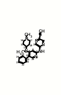 C#Cc1cnc(Nc2cc(N(C)C3CCN(C)CC3)c(-c3ccccc3)cn2)cn1